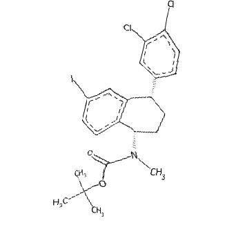 CN(C(=O)OC(C)(C)C)[C@H]1CC[C@@H](c2ccc(Cl)c(Cl)c2)c2cc(I)ccc21